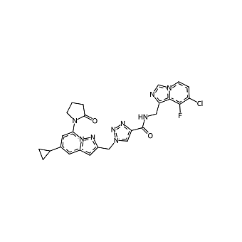 O=C(NCc1ncn2ccc(Cl)c(F)c12)c1cn(Cc2cc3cc(C4CC4)cc(N4CCCC4=O)n3n2)nn1